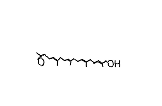 CC(=O)CC/C=C(\C)CC/C=C(\C)CC/C=C(\C)CC/C=C(\C)CO